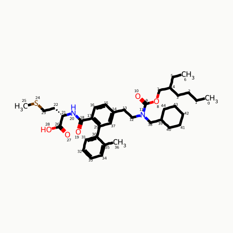 CCCCC(CC)COC(=O)N(CCc1ccc(C(=O)N[C@@H](CCSC)C(=O)O)c(-c2ccccc2C)c1)CC1CCCCC1